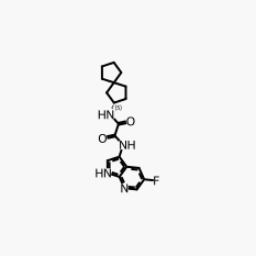 O=C(Nc1c[nH]c2ncc(F)cc12)C(=O)N[C@H]1CCC2(CCCC2)C1